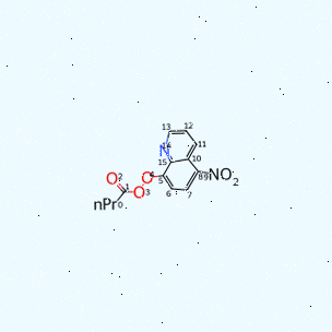 CCCC(=O)OOc1ccc([N+](=O)[O-])c2cccnc12